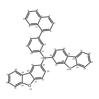 c1cc(-c2cccc3ccccc23)cc(N(c2ccc3c(c2)sc2ccccc23)c2ccc3oc4ccccc4c3c2)c1